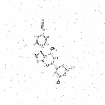 CC(NC(=O)c1cc(Cl)cc(Cl)c1)c1ncnn1-c1ccc(C#N)cn1